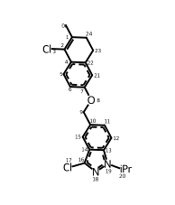 [CH2]C1=C(Cl)c2ccc(OCc3ccc4c(c3)c(Cl)nn4C(C)C)cc2CC1